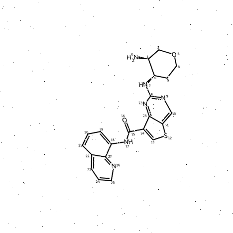 N[C@H]1COCC[C@H]1Nc1ncc2scc(C(=O)Nc3cccc4cccnc34)c2n1